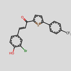 O=C(C=Cc1ccc(O)c(Br)c1)c1ccc(-c2ccc(C(F)(F)F)cc2)s1